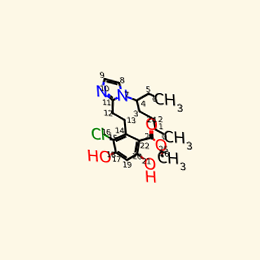 CCCCC(CC)n1ccnc1CCc1c(Cl)c(O)cc(O)c1C(=O)OC